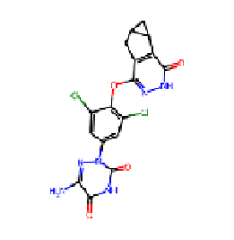 Nc1nn(-c2cc(Cl)c(Oc3n[nH]c(=O)c4c3CC3CC43)c(Cl)c2)c(=O)[nH]c1=O